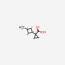 CC1CC(C2(C(=O)O)CC2)C1